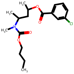 CCCCOC(=O)N(C)C(C)CC(C)OC(=O)c1cccc(Cl)c1